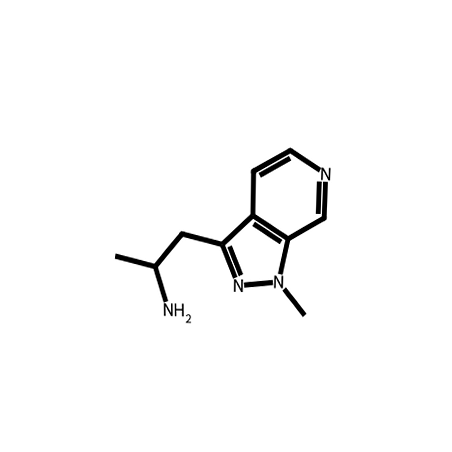 CC(N)Cc1nn(C)c2cnccc12